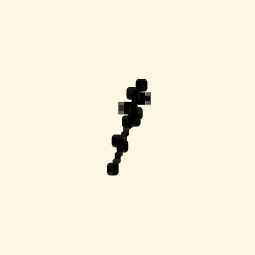 O=CCCCCCOC(=O)CCCCCOC(=O)CC(=O)NCCNC(=O)CC=O